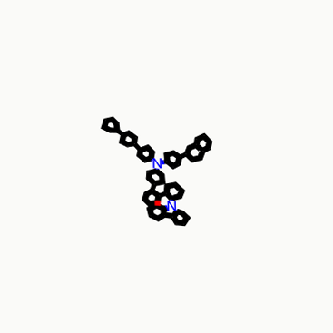 c1ccc(-c2ccc(-c3ccc(N(c4ccc(-c5ccc6ccccc6c5)cc4)c4ccc(-c5ccccc5-c5ccccc5-n5c6ccccc6c6ccccc65)cc4)cc3)cc2)cc1